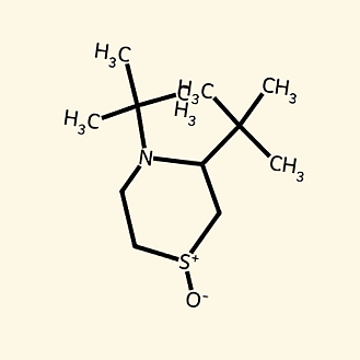 CC(C)(C)C1C[S+]([O-])CCN1C(C)(C)C